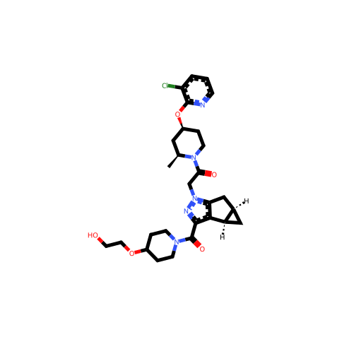 C[C@H]1C[C@@H](Oc2ncccc2Cl)CCN1C(=O)Cn1nc(C(=O)N2CCC(OCCO)CC2)c2c1C[C@H]1C[C@@H]21